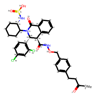 COC(=O)CCc1ccc(CONC(=O)[C@@H]2c3ccccc3C(=O)N(C3CCCC[C@@H]3NS(=O)O)[C@H]2c2ccc(Cl)cc2Cl)cc1